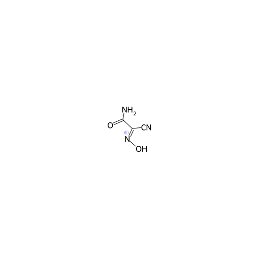 N#C/C(=N\O)C(N)=O